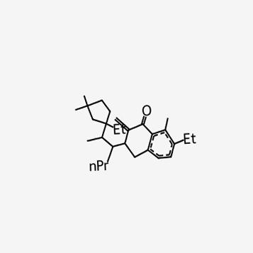 C=C1C(=O)c2c(ccc(CC)c2C)CC1C(CCC)C(C)C1(CC)CCC(C)(C)C1